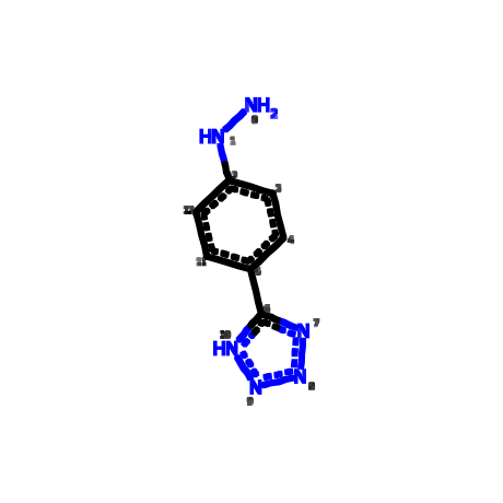 NNc1ccc(-c2nnn[nH]2)cc1